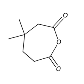 CC1(C)CCC(=O)OC(=O)C1